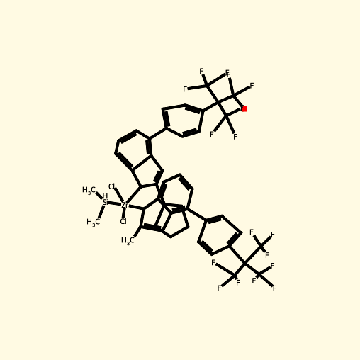 CC1=Cc2c(-c3ccc(C(C(F)(F)F)(C(F)(F)F)C(F)(F)F)cc3)cccc2[CH]1[Zr]([Cl])([Cl])([CH]1C(C2CCCC2)=Cc2c(-c3ccc(C(C(F)(F)F)(C(F)(F)F)C(F)(F)F)cc3)cccc21)[SiH](C)C